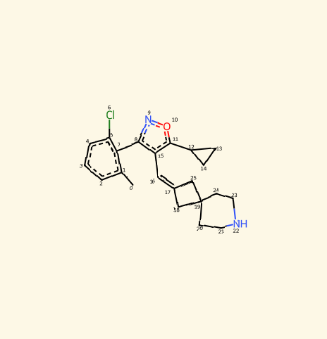 Cc1cccc(Cl)c1-c1noc(C2CC2)c1C=C1CC2(CCNCC2)C1